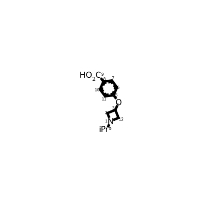 CC(C)N1CC(Oc2ccc(C(=O)O)cc2)C1